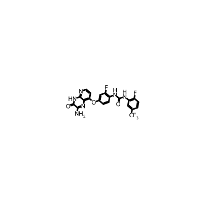 Nc1nc2c(Oc3ccc(NC(=O)Nc4cc(C(F)(F)F)ccc4F)c(F)c3)ccnc2[nH]c1=O